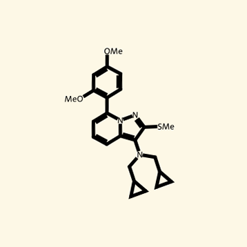 COc1ccc(-c2cccc3c(N(CC4CC4)CC4CC4)c(SC)nn23)c(OC)c1